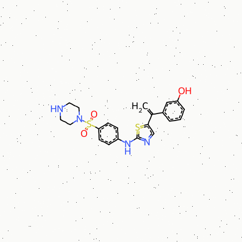 C=C(c1cccc(O)c1)c1cnc(Nc2ccc(S(=O)(=O)N3CCNCC3)cc2)s1